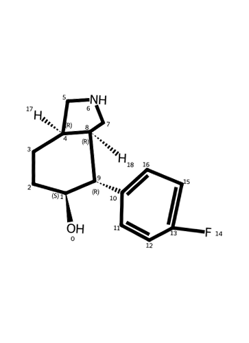 O[C@H]1CC[C@H]2CNC[C@H]2[C@@H]1c1ccc(F)cc1